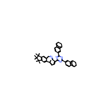 C\C1=C/C=C(c2nc(-c3ccc4c(c3)C3CCC4CC3)nc(-c3ccc4c(c3)C3CCC4CC3)n2)\C=N\Cc2cc3c(cc21)C(C)(C)C(C)(C)C3(C)C